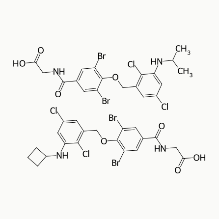 CC(C)Nc1cc(Cl)cc(COc2c(Br)cc(C(=O)NCC(=O)O)cc2Br)c1Cl.O=C(O)CNC(=O)c1cc(Br)c(OCc2cc(Cl)cc(NC3CCC3)c2Cl)c(Br)c1